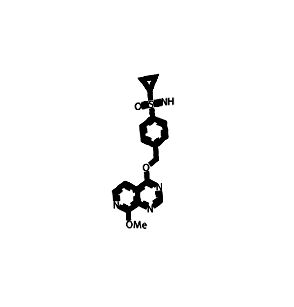 COc1nccc2c(OCc3ccc(S(=N)(=O)C4CC4)cc3)ncnc12